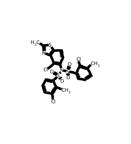 Cc1nc2c(Cl)c(N(S(=O)(=O)c3cccc(Cl)c3C)S(=O)(=O)c3cccc(C)c3Cl)ccc2s1